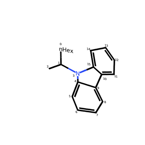 CCCCCCC(C)n1c2ccccc2c2ccccc21